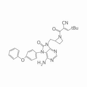 CC(C)(C)C=C(C#N)C(=O)N1CCC1Cn1c(=O)n(-c2ccc(Oc3ccccc3)cc2)c2c(N)ncnc21